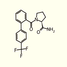 NC(=O)[C@@H]1CCCN1C(=O)c1ccccc1-c1ccc(C(F)(F)F)cc1